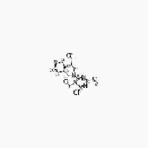 CSc1nc(Cl)c(C=O)c(N(CCC=O)Cc2ccccc2)n1